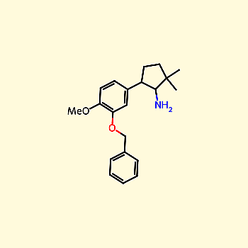 COc1ccc(C2CCC(C)(C)C2N)cc1OCc1ccccc1